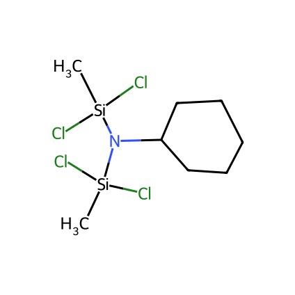 C[Si](Cl)(Cl)N(C1CCCCC1)[Si](C)(Cl)Cl